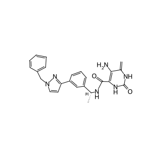 C=C1NC(=O)NC(C(=O)N[C@H](C)c2cccc(-c3ccn(Cc4ccccc4)n3)c2)=C1N